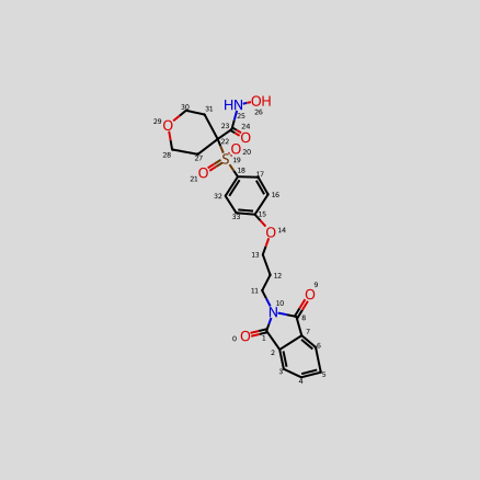 O=C1c2ccccc2C(=O)N1CCCOc1ccc(S(=O)(=O)C2(C(=O)NO)CCOCC2)cc1